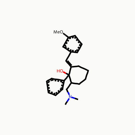 COc1cccc(C=C2CCCCC(CN(C)C)C2(O)c2ccccc2)c1